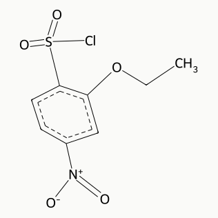 CCOc1cc([N+](=O)[O-])ccc1S(=O)(=O)Cl